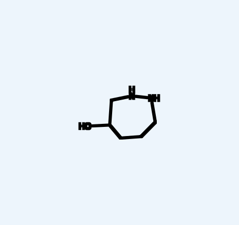 OC1CCCNNC1